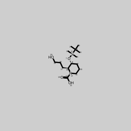 CC(C)(C)[Si](C)(C)O[C@@H]1CCCN(C(=O)O)[C@H]1CCCO